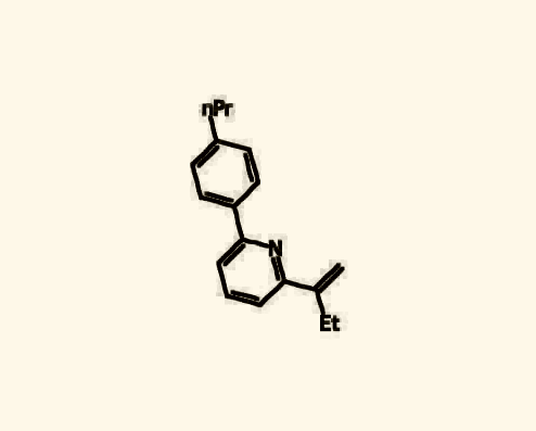 C=C(CC)c1cccc(-c2ccc(CCC)cc2)n1